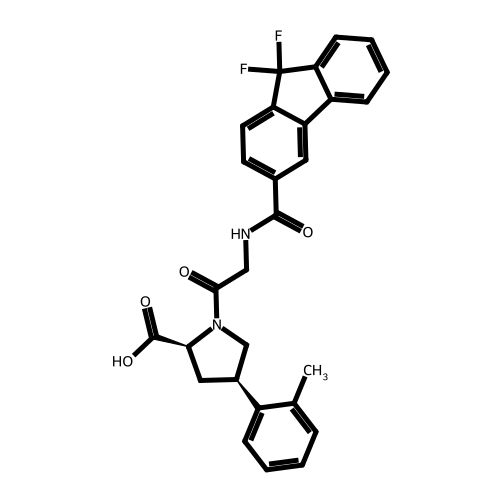 Cc1ccccc1[C@H]1C[C@@H](C(=O)O)N(C(=O)CNC(=O)c2ccc3c(c2)-c2ccccc2C3(F)F)C1